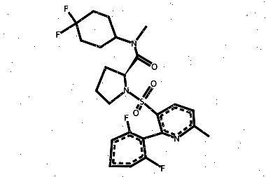 Cc1ccc(S(=O)(=O)N2CCC[C@H]2C(=O)N(C)C2CCC(F)(F)CC2)c(-c2c(F)cccc2F)n1